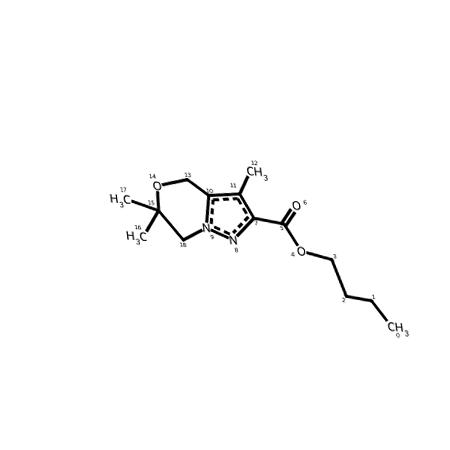 CCCCOC(=O)c1nn2c(c1C)COC(C)(C)C2